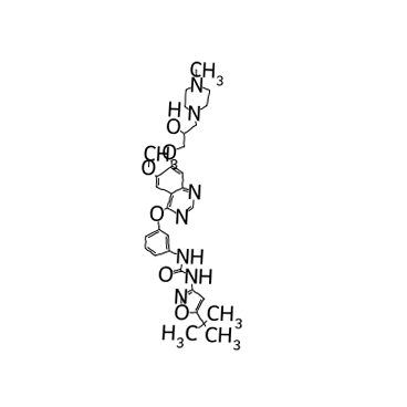 COc1cc2c(Oc3cccc(NC(=O)Nc4cc(C(C)(C)C)on4)c3)ncnc2cc1OCC(O)CN1CCN(C)CC1